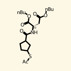 CCCCOC(=O)C[C@H](NC(=O)C1CCC(SC(C)=O)C1)C(=O)OCCCC